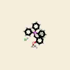 COc1cccc(C)c1C[P+](c1ccccc1)(c1ccccc1)c1ccccc1.[Br-]